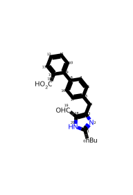 CCCCc1nc(Cc2ccc(-c3ccccc3C(=O)O)cc2)c(C=O)[nH]1